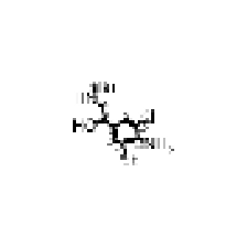 CCc1cc(C(O)CNC(C)(C)C)cc(Cl)c1N